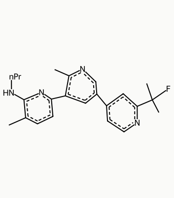 CCCNc1nc(-c2cc(-c3ccnc(C(C)(C)F)c3)cnc2C)ccc1C